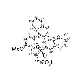 COc1ccc(-c2cccc3ccccc23)cc1CN(CC(=O)O)S(=O)(=O)c1ccc2c(c1)CCC(C)(C)O2